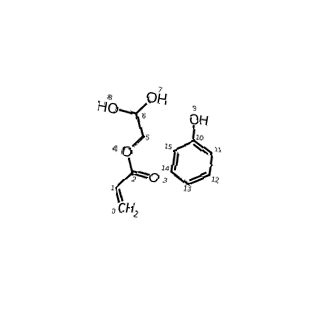 C=CC(=O)OCC(O)O.Oc1ccccc1